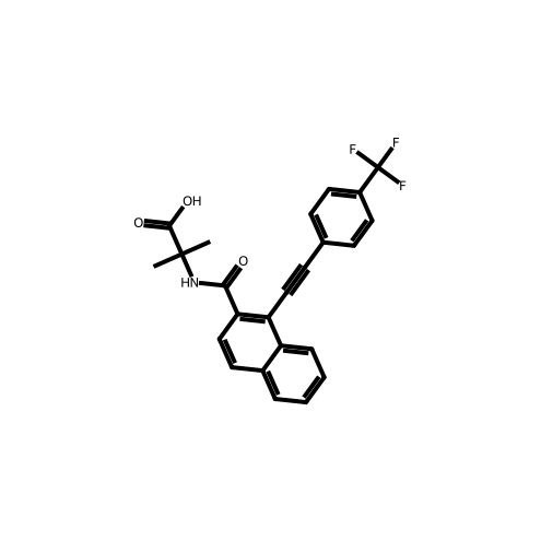 CC(C)(NC(=O)c1ccc2ccccc2c1C#Cc1ccc(C(F)(F)F)cc1)C(=O)O